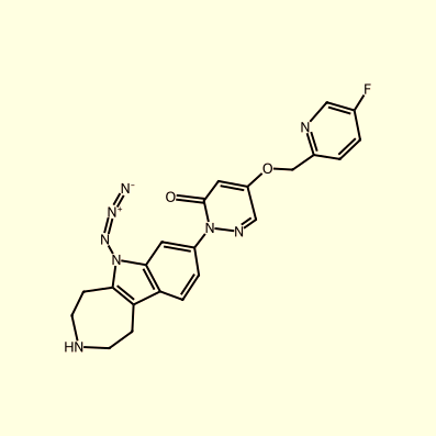 [N-]=[N+]=Nn1c2c(c3ccc(-n4ncc(OCc5ccc(F)cn5)cc4=O)cc31)CCNCC2